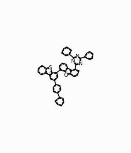 c1ccc(-c2ccc(-c3cc(-c4cccc5c4oc4cccc(-c6nc(-c7ccccc7)nc(-c7ccccc7)n6)c45)c4sc5ccccc5c4c3)cc2)cc1